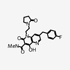 CNC(=O)c1c(O)c2ncc(Cc3ccc(F)cc3)cc2n(CCN2CCCC2=O)c1=O